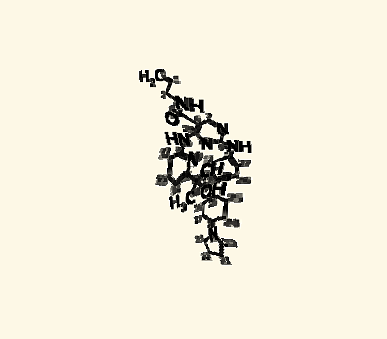 C=CCNC(=O)c1cnc(Nc2ccc([C@H]3CC[C@H](N4CCCC4)CC3)cc2)nc1Nc1cccc(C(C)(C)O)n1